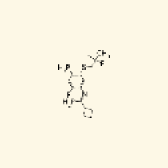 CC(F)(F)CSc1cc(/N=C(\P)C2CCC2)c(F)cc1P